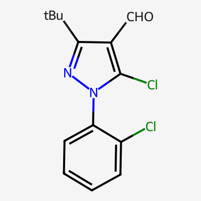 CC(C)(C)c1nn(-c2ccccc2Cl)c(Cl)c1C=O